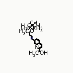 CC(C/C=C/c1ccc2ccc([C@@H](C)O)nc2c1)O[Si](C)(C)C(C)(C)C